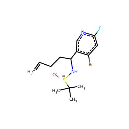 C=CCCC(N[S@@+]([O-])C(C)(C)C)c1cnc(F)cc1Br